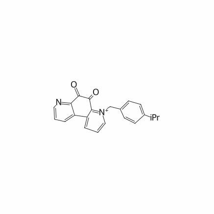 CC(C)c1ccc(C[n+]2cccc3c2C(=O)C(=O)c2ncccc2-3)cc1